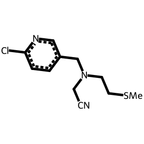 CSCCN(CC#N)Cc1ccc(Cl)nc1